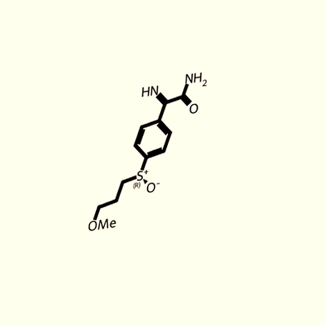 COCCC[S@+]([O-])c1ccc(C(=N)C(N)=O)cc1